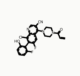 C=CC(=O)N1CCN(c2c(C#N)cnc3c(Cl)c(-c4c(O)cccc4F)c(F)cc23)CC1